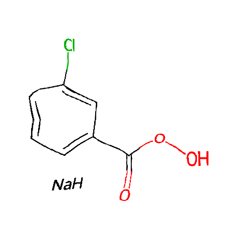 O=C(OO)c1cccc(Cl)c1.[NaH]